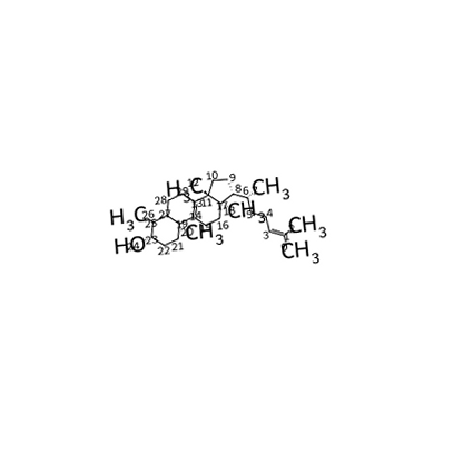 CC(C)=CCC[C@@H](C)[C@H]1CC[C@@]2(C)C3=C(CC[C@]12C)[C@@]1(C)CC[C@H](O)C(C)C1CC3